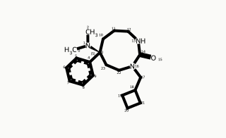 CN(C)[C@@]1(c2ccccc2)CCCNC(=O)N(CC2CCC2)CC1